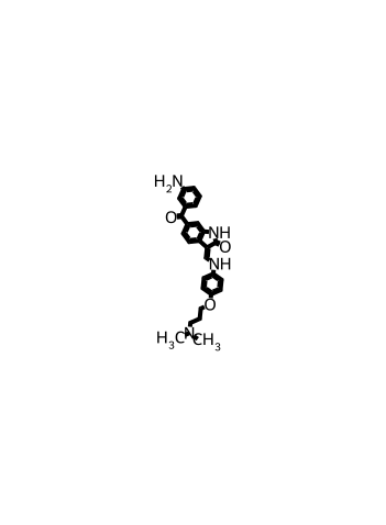 CN(C)CCCOc1ccc(NC=C2C(=O)Nc3cc(C(=O)c4cccc(N)c4)ccc32)cc1